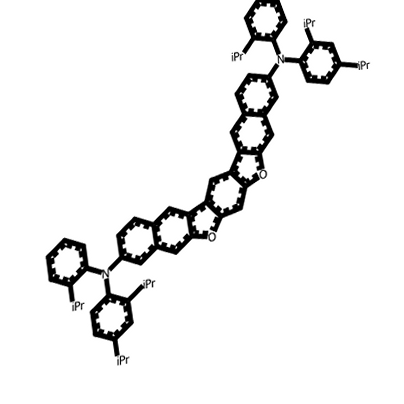 CC(C)c1ccc(N(c2ccc3cc4c(cc3c2)oc2cc3oc5cc6cc(N(c7ccccc7C(C)C)c7ccc(C(C)C)cc7C(C)C)ccc6cc5c3cc24)c2ccccc2C(C)C)c(C(C)C)c1